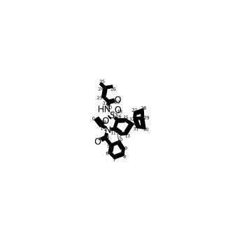 C#CN(C(=O)c1ccccc1)c1ccccc1S(=O)(=O)NC(=O)C=C(C)C.c1cc2ccc1-2